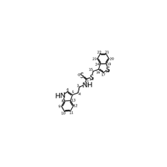 S=C(NCCc1c[nH]c2ccccc12)SCc1csc2ccccc12